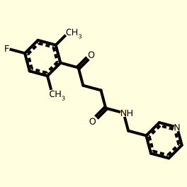 Cc1cc(F)cc(C)c1C(=O)CCC(=O)NCc1cccnc1